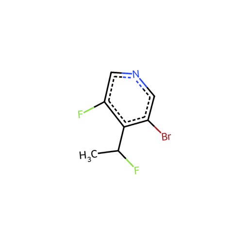 CC(F)c1c(F)cncc1Br